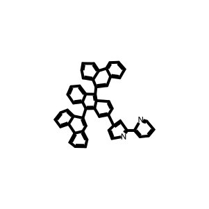 c1ccc(-c2cc(-c3ccc4c(-c5cc6ccccc6c6ccccc56)c5ccccc5c(-c5cc6ccccc6c6ccccc56)c4c3)ccn2)nc1